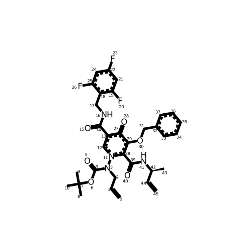 C=CCN(C(=O)OC(C)(C)C)n1cc(C(=O)NCc2c(F)cc(F)cc2F)c(=O)c(OCc2ccccc2)c1C(=O)N[C@@H](C)C=C